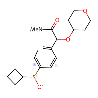 C=C(/C=C\C(=C/C)[S+]([O-])C1CCC1)C(OC1CCOCC1)C(=O)NC